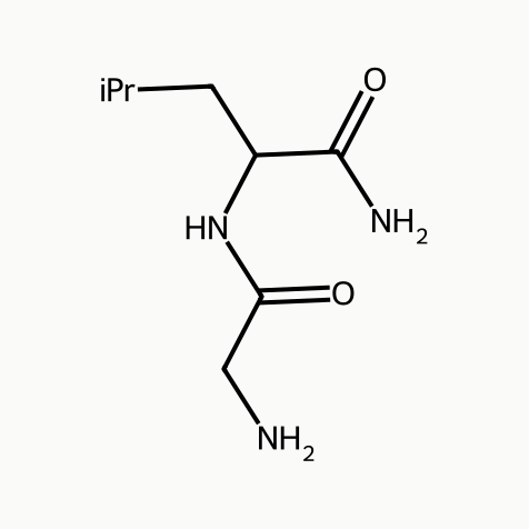 CC(C)CC(NC(=O)CN)C(N)=O